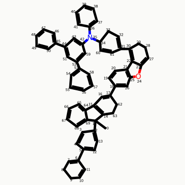 CC1(c2ccc(C3=CCCC=C3)cc2)C2=C(C=C(c3ccc4c5c(oc4c3)=CCCC=5C3=CCC(N(c4ccccc4)c4cc(-c5ccccc5)cc(-c5ccccc5)c4)C=C3)CC2)c2ccccc21